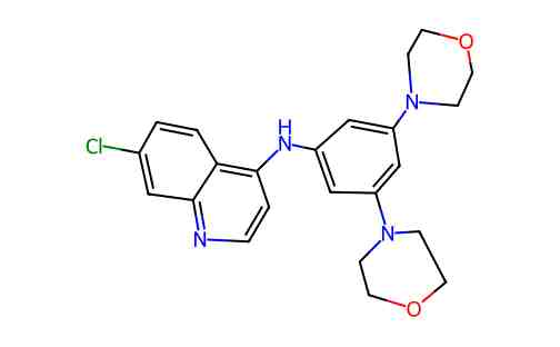 Clc1ccc2c(Nc3cc(N4CCOCC4)cc(N4CCOCC4)c3)ccnc2c1